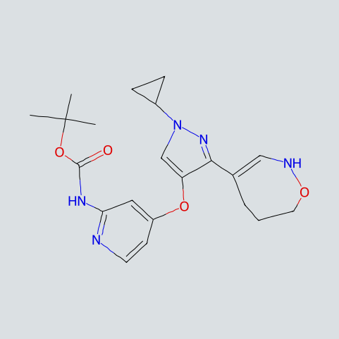 CC(C)(C)OC(=O)Nc1cc(Oc2cn(C3CC3)nc2C2=CNOCCC2)ccn1